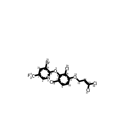 FC(F)(F)c1cnc(Oc2c(Cl)ccc(OCC=C(Cl)Cl)c2Cl)c(Br)c1